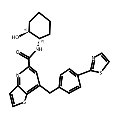 O=C(N[C@H]1CCCC[C@@H]1O)c1cc(Cc2ccc(-c3nccs3)cc2)c2sccc2n1